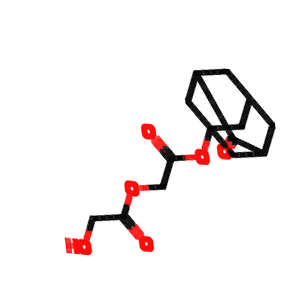 O=C(CO)OCC(=O)OC12CC3CC(C1)C(=O)C(C3)C2